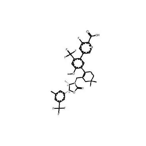 COc1cc(C(F)(F)F)c(-c2cnc(C(=O)O)c(F)c2)cc1C1=C(CN2C(=O)O[C@H](c3cc(C)cc(C(F)(F)F)c3)[C@@H]2C)CC(C)(C)CC1